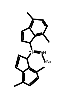 CCCC[SiH]=[Hf]([CH]1C=Cc2c(C)ccc(C)c21)[CH]1C=Cc2c(C)ccc(C)c21